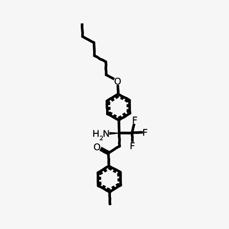 CCCCCCOc1ccc([C@@](N)(CC(=O)c2ccc(C)cc2)C(F)(F)F)cc1